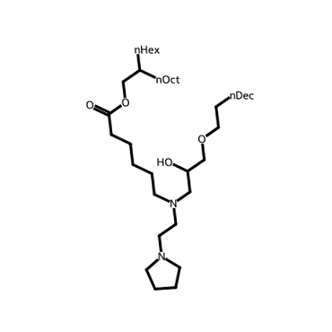 CCCCCCCCCCCCOCC(O)CN(CCCCCC(=O)OCC(CCCCCC)CCCCCCCC)CCN1CCCC1